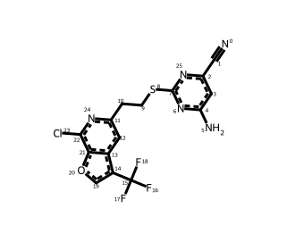 N#Cc1cc(N)nc(SCCc2cc3c(C(F)(F)F)coc3c(Cl)n2)n1